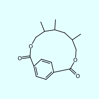 CC1COC(=O)c2ccc(cc2)C(=O)OCC(C)C(C)C1